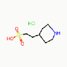 Cl.O=S(=O)(O)CCC1CCNCC1